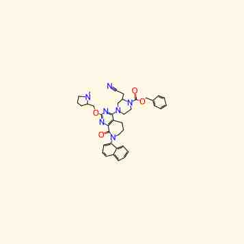 CN1CCCC1COc1nc2c(c(N3CCN(C(=O)OCc4ccccc4)C(CC#N)C3)n1)CCCN(c1cccc3ccccc13)C2=O